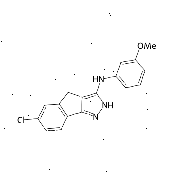 COc1cccc(Nc2[nH]nc3c2Cc2cc(Cl)ccc2-3)c1